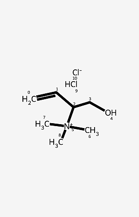 C=CC(CO)[N+](C)(C)C.Cl.[Cl-]